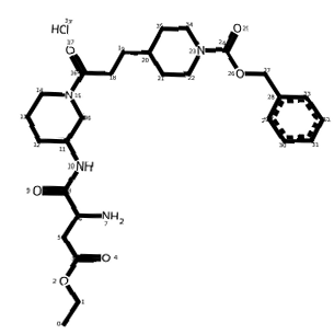 CCOC(=O)CC(N)C(=O)NC1CCCN(C(=O)CCC2CCN(C(=O)OCc3ccccc3)CC2)C1.Cl